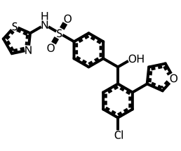 O=S(=O)(Nc1nccs1)c1ccc(C(O)c2ccc(Cl)cc2-c2ccoc2)cc1